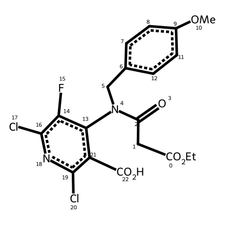 CCOC(=O)CC(=O)N(Cc1ccc(OC)cc1)c1c(F)c(Cl)nc(Cl)c1C(=O)O